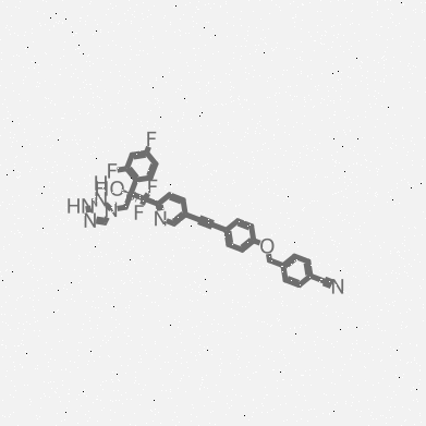 N#Cc1ccc(COc2ccc(C#Cc3ccc(C(F)(F)[C@@](O)(CN4C=NNN4)c4ccc(F)cc4F)nc3)cc2)cc1